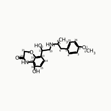 COc1ccc(CC(C)NCC(O)c2ccc(O)c3c2OCC(=O)N3)cc1